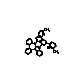 Cc1cccc(-c2cc(C3=CC=CC(C)N3)cc(-n3c4c(c5ccccc53)-c3ccccc3-c3ccccc3N4c3ccccc3)c2)n1